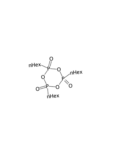 CCCCCCP1(=O)OP(=O)(CCCCCC)OP(=O)(CCCCCC)O1